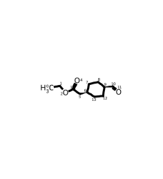 CCOC(=O)C[C@H]1CC[C@@H](C=O)CC1